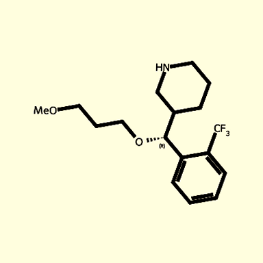 COCCCO[C@@H](c1ccccc1C(F)(F)F)C1CCCNC1